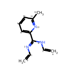 C=C/N=C(\NC=C)c1cccc(C)n1